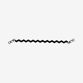 O=C=NCCCCCCCCCCCCCCCCCCCCCCN=C=O